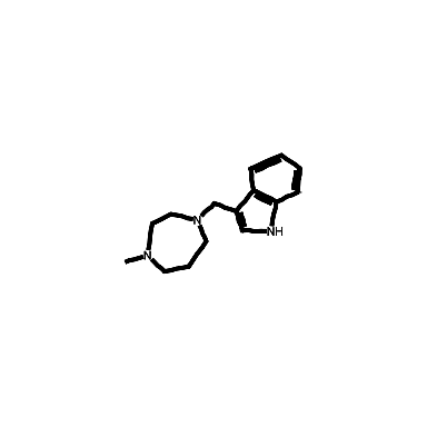 CN1CCCN(Cc2c[nH]c3[c]cccc23)CC1